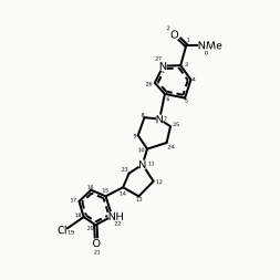 CNC(=O)c1ccc(N2CCC(N3CCC(c4ccc(Cl)c(=O)[nH]4)C3)CC2)cn1